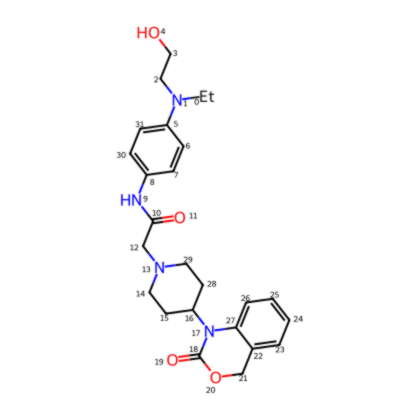 CCN(CCO)c1ccc(NC(=O)CN2CCC(N3C(=O)OCc4ccccc43)CC2)cc1